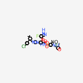 CC1(C)CCC(CN2CCN(c3ccc(C(=O)NS(=O)(=O)c4ccc(NCC5(F)CCOCC5)c([N+](=O)[O-])c4)c(Oc4cc(F)cc5[nH]ncc45)c3)CC2)=C(c2ccc(Cl)cc2)C1